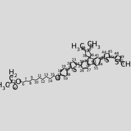 C=C(C)C(=O)OCCCCCCCCCCOc1ccc(-c2ccc(-c3ccc4c(c3)C(CCCC)(CCCC)c3cc(-c5ccc(-c6ccc(C)s6)s5)ccc3-4)s2)cc1